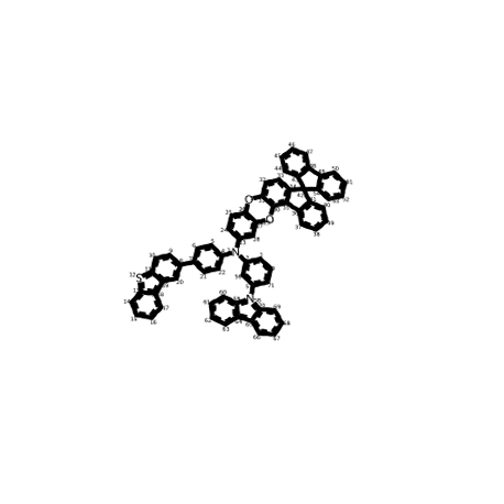 c1cc(N(c2ccc(-c3ccc4sc5ccccc5c4c3)cc2)c2ccc3c(c2)Oc2c(ccc4c2-c2ccccc2C42c4ccccc4-c4ccccc42)O3)cc(-n2c3ccccc3c3ccccc32)c1